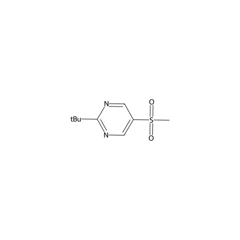 CC(C)(C)c1ncc(S(C)(=O)=O)cn1